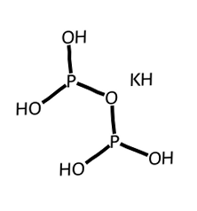 OP(O)OP(O)O.[KH]